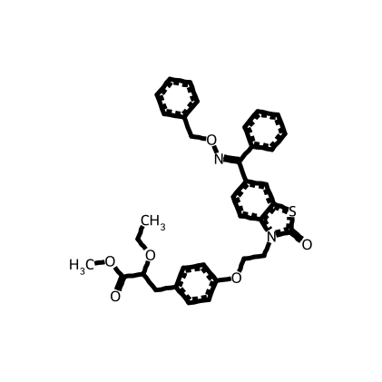 CCOC(Cc1ccc(OCCn2c(=O)sc3cc(/C(=N/OCc4ccccc4)c4ccccc4)ccc32)cc1)C(=O)OC